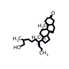 CC/C=C(/CCCC(C)CO)C1CCC2C3=CCC4CC(=O)CC[C@]4(C)C3CC[C@@]21C